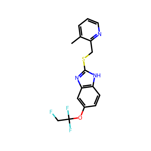 Cc1cccnc1CSc1nc2cc(OC(F)(F)CF)ccc2[nH]1